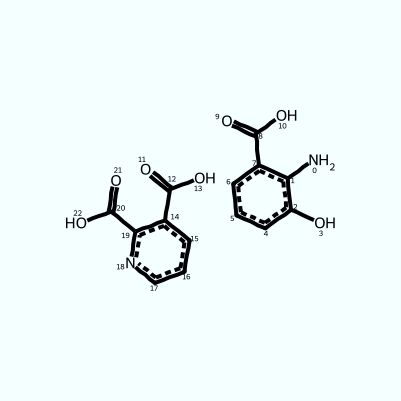 Nc1c(O)cccc1C(=O)O.O=C(O)c1cccnc1C(=O)O